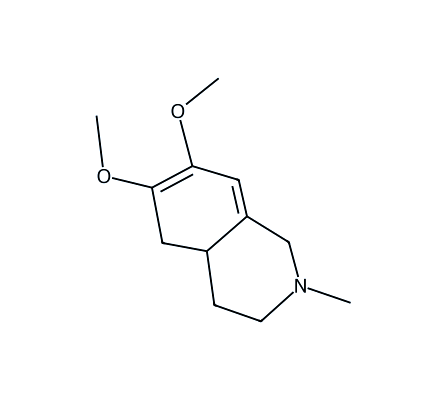 COC1=C(OC)CC2CCN(C)CC2=C1